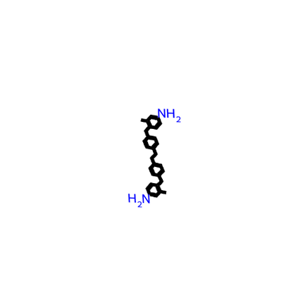 Cc1cc(N)ccc1Cc1ccc(CCc2ccc(Cc3ccc(N)cc3C)cc2)cc1